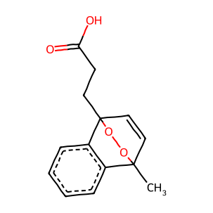 CC12C=CC(CCC(=O)O)(OO1)c1ccccc12